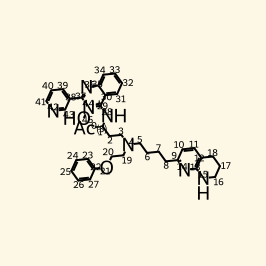 CC(=O)[C@H](CCN(CCCCc1ccc2c(n1)NCCC2)CCOc1ccccc1)Nc1c2ccccc2nc(-c2cccnc2)[n+]1O